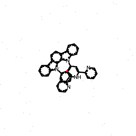 C1=C(c2ccccn2)NC(c2ccccn2)C=C1n1c2ccccc2c2ccc3c4ccccc4n(-c4ccccc4)c3c21